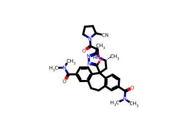 Cc1nnc(C2(C[C@@H](C)NCC(=O)N3CCCC3C#N)c3ccc(C(=O)N(C)C)cc3CCc3cc(C(=O)N(C)C)ccc32)o1